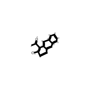 CC(=O)c1c(Cl)ccc2cc3ccccc3cc12